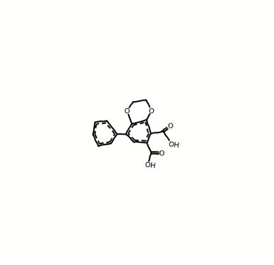 O=C(O)c1cc(-c2ccccc2)c2c(c1C(=O)O)OCCO2